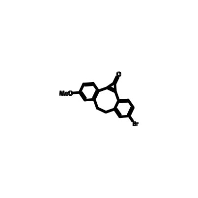 COc1ccc2c(c1)CCc1cc(Br)ccc1-c1c-2c1=O